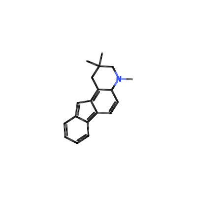 CN1CC(C)(C)CC2=C3C=c4ccccc4=C3C=CC21